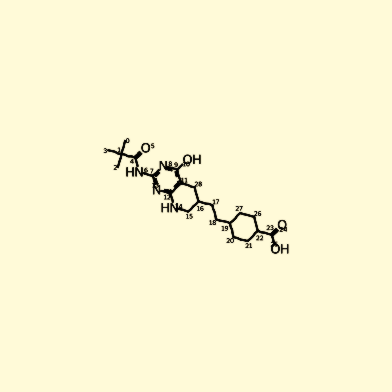 CC(C)(C)C(=O)Nc1nc(O)c2c(n1)NCC(CCC1CCC(C(=O)O)CC1)C2